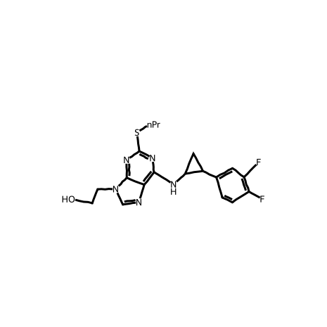 CCCSc1nc(NC2CC2c2ccc(F)c(F)c2)c2ncn(CCO)c2n1